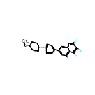 C=C[C@H]1CC[C@H](c2ccc(-c3cc(F)c4c(F)c(F)c(F)cc4c3)cc2)CC1